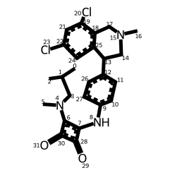 CC(C)CN(C)c1c(Nc2ccc(C3CN(C)Cc4c(Cl)cc(Cl)cc43)cc2)c(=O)c1=O